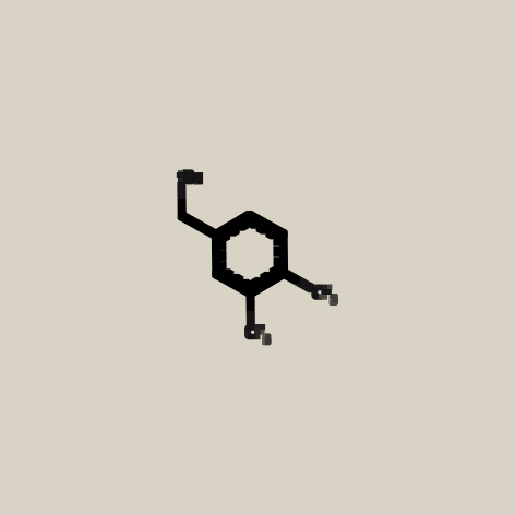 CC(C)(C)Cc1ccc(C(F)(F)F)c(C(F)(F)F)c1